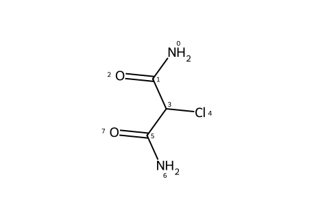 NC(=O)C(Cl)C(N)=O